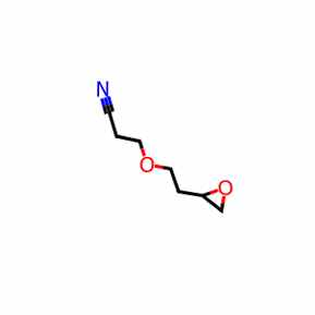 N#CCCOCCC1CO1